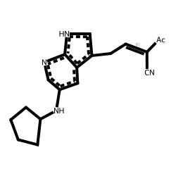 CC(=O)/C(C#N)=C/Cc1c[nH]c2ncc(NC3CCCC3)cc12